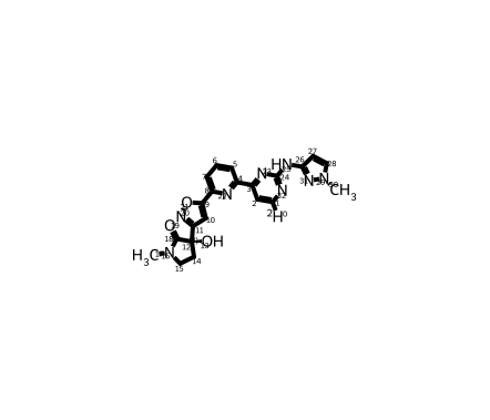 [2H]c1cc(-c2cccc(-c3cc([C@]4(O)CCN(C)C4=O)no3)n2)nc(Nc2ccn(C)n2)n1